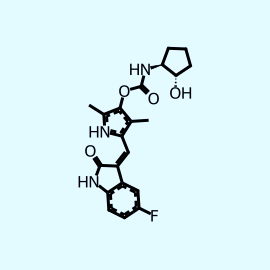 Cc1[nH]c(/C=C2\C(=O)Nc3ccc(F)cc32)c(C)c1OC(=O)N[C@H]1CCC[C@@H]1O